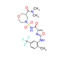 Cc1ccc(C(F)(F)F)cc1Nc1nc(C(=O)NS(=O)(=O)N2CCOCC(C(=O)N(C)C)C2)co1